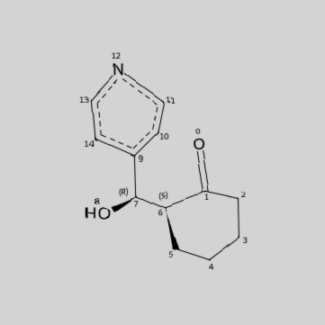 O=C1CCCC[C@H]1[C@@H](O)c1ccncc1